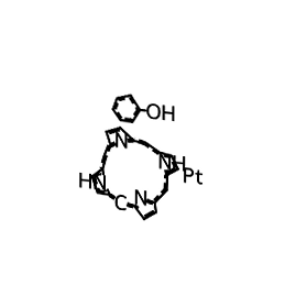 C1=Cc2cc3ccc(cc4nc(cc5ccc(cc1n2)[nH]5)C=C4)[nH]3.Oc1ccccc1.[Pt]